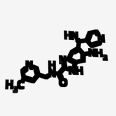 Cc1cncc(CNC(=O)c2nc3cc(C(=N)c4ccncc4)c(N)cc3[nH]2)c1